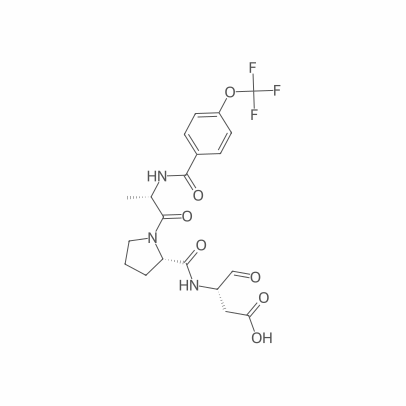 C[C@H](NC(=O)c1ccc(OC(F)(F)F)cc1)C(=O)N1CCC[C@H]1C(=O)N[C@H](C=O)CC(=O)O